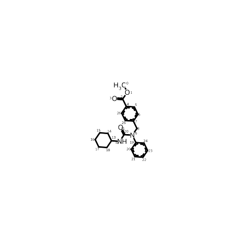 COC(=O)c1ccc(CN(C(=O)NC2CCCCC2)c2ccccc2)cc1